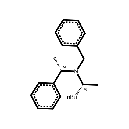 CCCC[C@@H](C)N(Cc1ccccc1)[C@@H](C)c1ccccc1